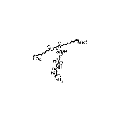 CCCCCCCC/C=C\CCCCCCCC(=O)OCC(COC(=O)CCCCCCC/C=C\CCCCCCCC)COP(=O)(O)OCCNC(=O)CNC(=O)CNC(=O)CN